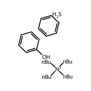 CCCC[N+](CCCC)(CCCC)CCCC.Oc1ccccc1.S.c1ccccc1